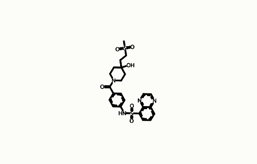 CS(=O)(=O)CCC1(O)CCN(C(=O)c2ccc(NS(=O)(=O)c3cccc4nccnc34)cc2)CC1